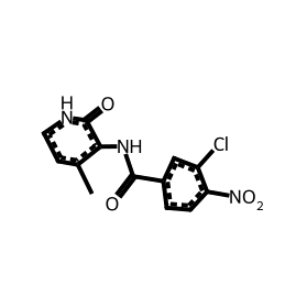 Cc1cc[nH]c(=O)c1NC(=O)c1ccc([N+](=O)[O-])c(Cl)c1